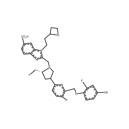 N#Cc1ccc(OCc2nc(C3C[C@H](CF)N(Cc4nc5ccc(C(=O)O)cc5n4CCC4CCO4)C3)ccc2F)c(F)c1